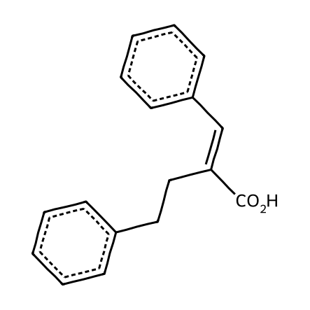 O=C(O)C(=Cc1ccccc1)CCc1ccccc1